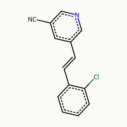 N#Cc1cncc(C=Cc2ccccc2Cl)c1